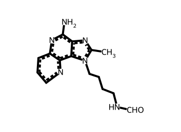 Cc1nc2c(N)nc3cccnc3c2n1CCCCNC=O